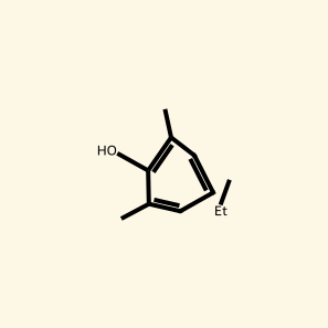 CCC.Cc1cccc(C)c1O